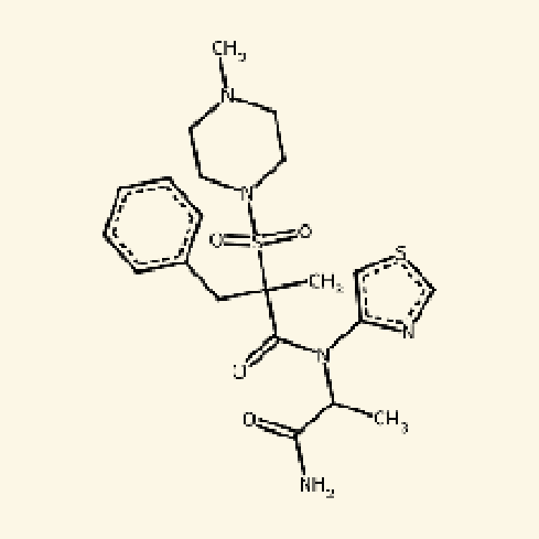 CC(C(N)=O)N(C(=O)C(C)(Cc1ccccc1)S(=O)(=O)N1CCN(C)CC1)c1cscn1